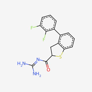 NC(N)=NC(=O)C1Cc2c(cccc2-c2cccc(F)c2F)S1